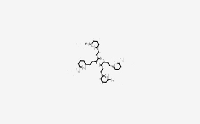 O=[N+]([O-])c1cccc(C=Cc2nc(C=Cc3cccc([N+](=O)[O-])n3)c(C=Cc3cccc([N+](=O)[O-])n3)nc2C=Cc2cccc([N+](=O)[O-])n2)n1